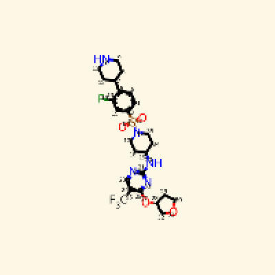 O=S(=O)(c1ccc(C2CCNCC2)c(F)c1)N1CCC(Nc2ncc(C(F)(F)F)c(O[C@H]3CCOC3)n2)CC1